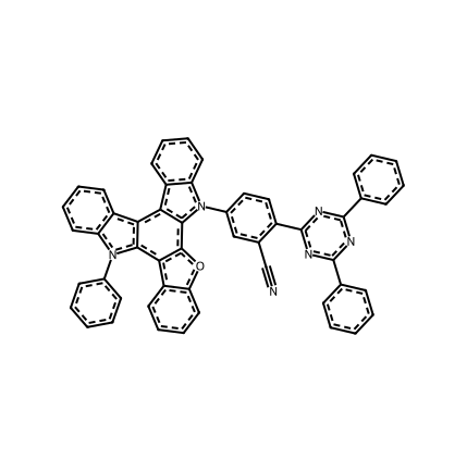 N#Cc1cc(-n2c3ccccc3c3c4c5ccccc5n(-c5ccccc5)c4c4c5ccccc5oc4c32)ccc1-c1nc(-c2ccccc2)nc(-c2ccccc2)n1